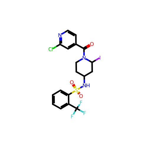 O=C(c1ccnc(Cl)c1)N1CCC(NS(=O)(=O)c2ccccc2C(F)(F)F)CC1I